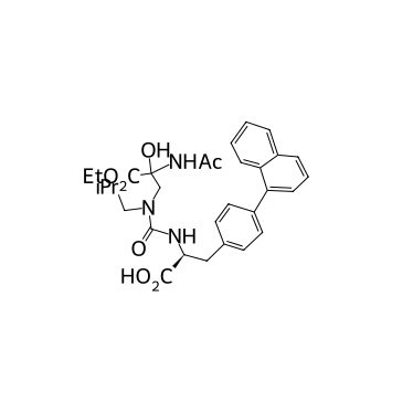 CCOC(=O)C(O)(CN(CC(C)C)C(=O)N[C@@H](Cc1ccc(-c2cccc3ccccc23)cc1)C(=O)O)NC(C)=O